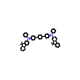 CC1(C)c2ccccc2C2C=CC(N(c3ccccc3)c3ccc(-c4ccc(-c5ccc(N(c6ccccc6)c6ccc7c(c6)C(C)(C)C6C=CC=CC76)cc5)cc4)cc3)=CC21